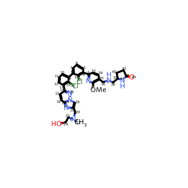 COc1nc(-c2cccc(-c3cccc(-c4ccc5nc(CN(C)CCO)cn5n4)c3Cl)c2Cl)ccc1CNCC1CCC(=O)N1